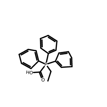 CCP(C(=O)O)(c1ccccc1)(c1ccccc1)c1ccccc1